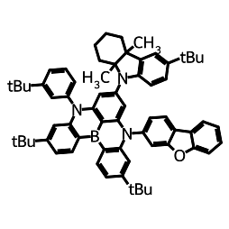 CC(C)(C)c1cccc(N2c3cc(C(C)(C)C)ccc3B3c4ccc(C(C)(C)C)cc4N(c4ccc5c(c4)oc4ccccc45)c4cc(N5c6ccc(C(C)(C)C)cc6C6(C)CCCCC56C)cc2c43)c1